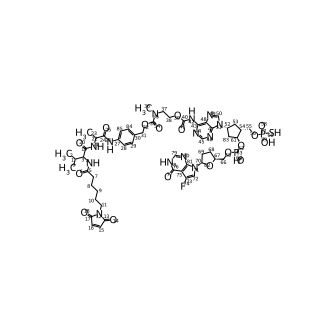 CC(C)C(NC(=O)CCCCCN1C(=O)C=CC1=O)C(=O)N[C@@H](C)C(=O)Nc1ccc(COC(=O)N(C)CCOC(=O)Nc2ncnc3c2ncn3[C@@H]2C[C@H](CO[P@](=O)(O)S)[C@@H](O[PH](=O)OC[C@@H]3CC[C@H](n4cc(F)c5c(=O)[nH]cnc54)O3)C2)cc1